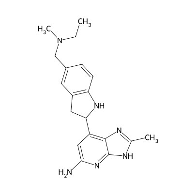 CCN(C)Cc1ccc2c(c1)CC(c1cc(N)nc3[nH]c(C)nc13)N2